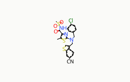 Cc1sc(N(Cc2ccc(Cl)cc2)Cc2csc3cc(C#N)ccc23)nc1C(=O)NS(C)(=O)=O